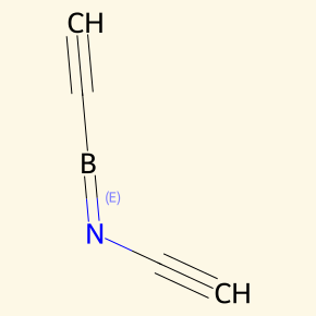 C#C/B=N/C#C